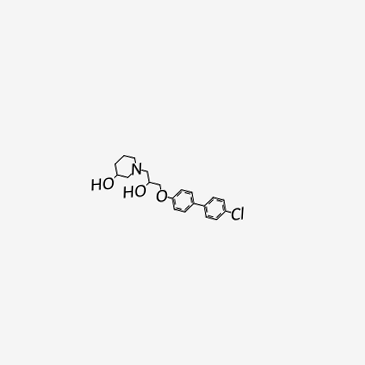 OC1CCCN(CC(O)COc2ccc(-c3ccc(Cl)cc3)cc2)C1